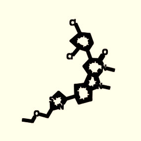 CCOCc1nc(-c2ccc3c(c2)c2cc(-c4ccc(Cl)cc4Cl)c(=O)n(C)c2n3C)cs1